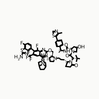 Cc1ncsc1-c1ccc([C@H](C)NC(=O)[C@@H]2C[C@@H](O)CN2C(=O)[C@@H](N2C(=O)CC[C@@H]2CCCN2CC[C@H](C#N)[C@H]2COc2nc(N3CC4CCC(C3)N4)c3cc(C(F)(F)F)c(-c4ccc(F)c5sc(N)nc45)c(F)c3n2)C(C)(C)C)cc1